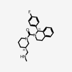 CNC[C@H]1CCCN(C(=O)N2CCc3ccccc3[C@@H]2c2ccc(F)cc2)C1